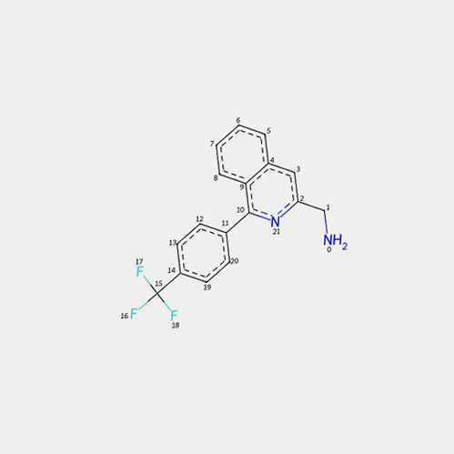 NCc1cc2ccccc2c(-c2ccc(C(F)(F)F)cc2)n1